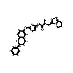 O=C(NCc1nnc2n1CCC2)Oc1cnc(Oc2ccc3c(c2)CCC(c2ccccc2)O3)s1